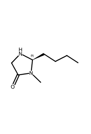 CCCC[C@@H]1NCC(=O)N1C